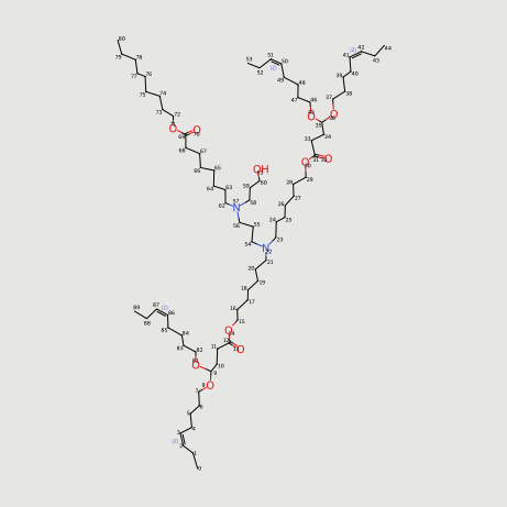 CC/C=C\CCCCOC(CCC(=O)OCCCCCCCN(CCCCCCCOC(=O)CCC(OCCCC/C=C\CC)OCCCC/C=C\CC)CCCN(CCCO)CCCCCCCC(=O)OCCCCCCCCC)OCCCC/C=C\CC